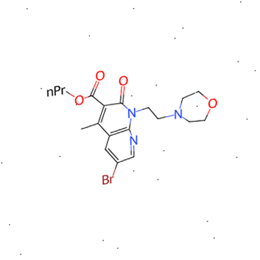 CCCOC(=O)c1c(C)c2cc(Br)cnc2n(CCN2CCOCC2)c1=O